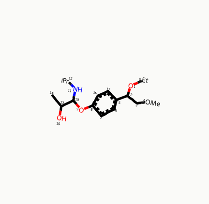 CCOC(COC)c1ccc(OC(NC(C)C)C(C)O)cc1